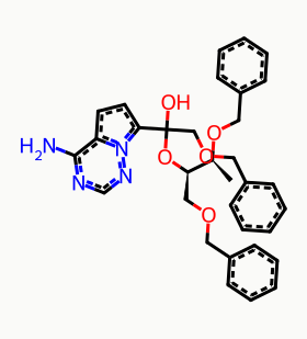 C[C@H](OCc1ccccc1)[C@@H](COCc1ccccc1)OC(O)(COCc1ccccc1)c1ccc2c(N)ncnn12